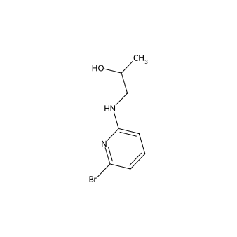 CC(O)CNc1cccc(Br)n1